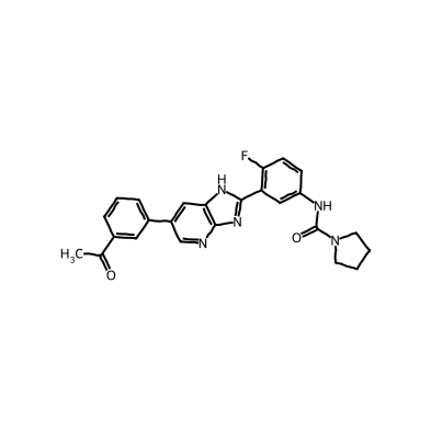 CC(=O)c1cccc(-c2cnc3nc(-c4cc(NC(=O)N5CCCC5)ccc4F)[nH]c3c2)c1